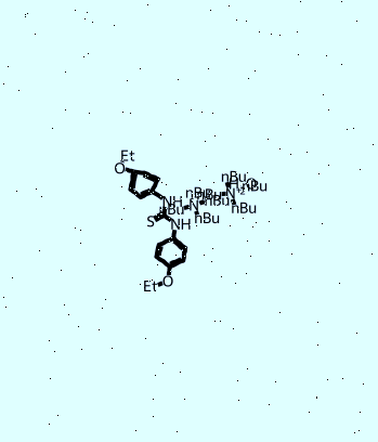 CCCC[N+](CCCC)(CCCC)CCCC.CCCC[N+](CCCC)(CCCC)CCCC.CCOc1ccc(NC(=S)Nc2ccc(OCC)cc2)cc1.O